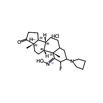 C[C@]12/C(=N\O)C(F)C(N3CCCC3)CC1CC[C@@H]1[C@H]2CC[C@]2(C)C(=O)CC[C@@H]12.Cl